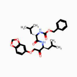 CC(C)C[C@H](NC(=O)[C@H](CC(C)C)NC(=O)OCc1ccccc1)C(=O)COc1ccc2c(c1)OCO2